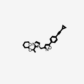 CC(OC1CCCCO1)c1nccn1Cc1cc(-c2ccc(C#CC3CC3)cc2)on1